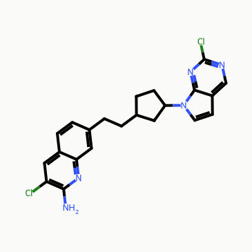 Nc1nc2cc(CCC3CCC(n4ccc5cnc(Cl)nc54)C3)ccc2cc1Cl